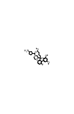 COCCCCC(O)(c1cccc(F)c1-c1cc(OC)cc(OC)c1)C1CN(C(=O)C2CCC(N)C2)CCO1